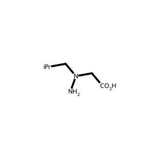 CC(C)CN(N)CC(=O)O